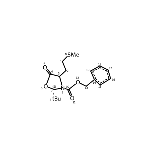 CSCCC1C(=O)O[C@@H](C(C)(C)C)N1C(=O)OCc1ccccc1